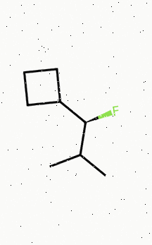 CC(C)[C@H](F)C1CCC1